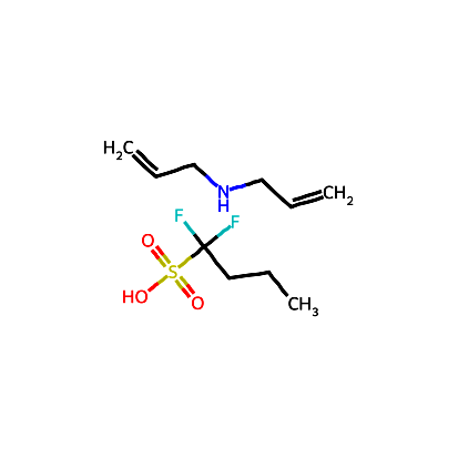 C=CCNCC=C.CCCC(F)(F)S(=O)(=O)O